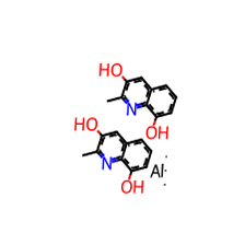 Cc1nc2c(O)cccc2cc1O.Cc1nc2c(O)cccc2cc1O.[Al]